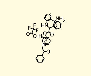 NC(=O)c1sccc1NC(C(=O)O[C@H]1C[N+]2(CC(=O)c3ccccc3)CCC1CC2)c1ccccc1.O=C([O-])C(F)(F)F